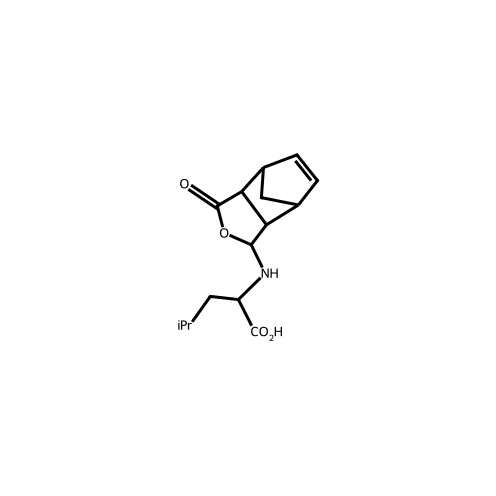 CC(C)CC(NC1OC(=O)C2C3C=CC(C3)C12)C(=O)O